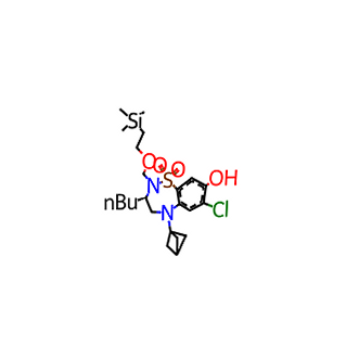 CCCC[C@@H]1CN(C23CC(C2)C3)c2cc(Cl)c(O)cc2S(=O)(=O)N1COCC[Si](C)(C)C